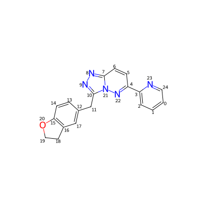 c1ccc(-c2ccc3nnc(Cc4ccc5c(c4)CCO5)n3n2)nc1